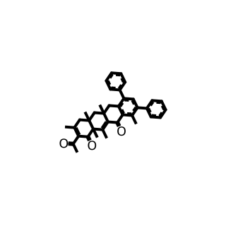 CC(=O)C1=C(C)CC2(C)CC3(C)Cc4c(-c5ccccc5)cc(-c5ccccc5)c(C)c4C(=O)C3=C(C)C2(C)C1=O